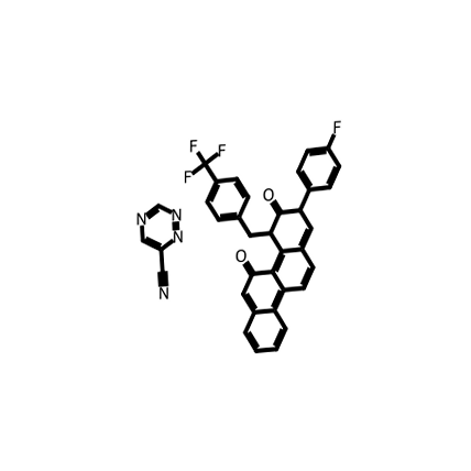 N#Cc1cncnn1.O=C1C=c2ccccc2=c2ccc3c(c21)C(Cc1ccc(C(F)(F)F)cc1)C(=O)C(c1ccc(F)cc1)C=3